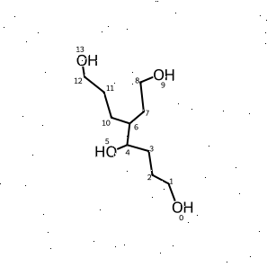 OCCCC(O)C(CCO)CCCO